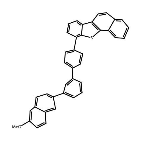 COc1ccc2cc(-c3cccc(-c4ccc(-c5cccc6c5sc5c7ccccc7ccc65)cc4)c3)ccc2c1